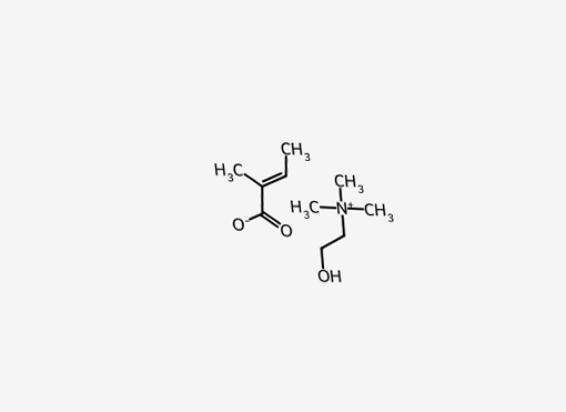 C/C=C(\C)C(=O)[O-].C[N+](C)(C)CCO